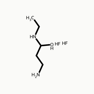 CCNC(O)CCN.F.F